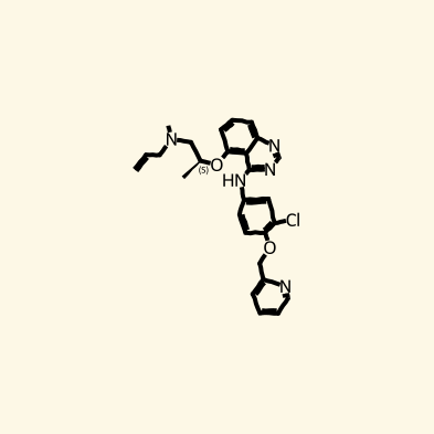 C=CCN(C)C[C@H](C)Oc1cccc2ncnc(Nc3ccc(OCc4ccccn4)c(Cl)c3)c12